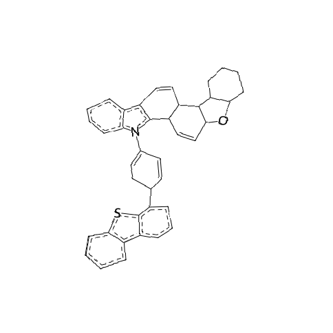 C1=CC(c2cccc3c2sc2ccccc23)CC=C1n1c2c(c3ccccc31)C=CC1C2C=CC2OC3CCCCC3C21